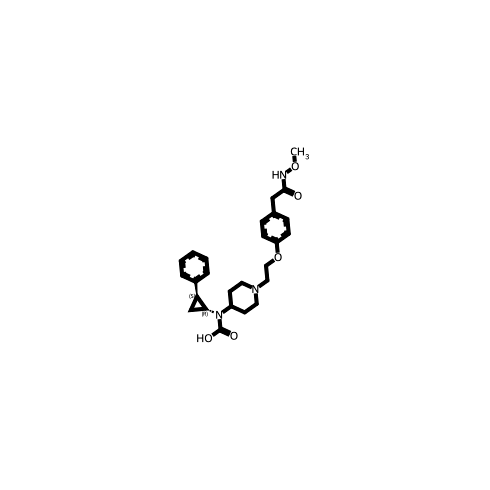 CONC(=O)Cc1ccc(OCCN2CCC(N(C(=O)O)[C@@H]3C[C@H]3c3ccccc3)CC2)cc1